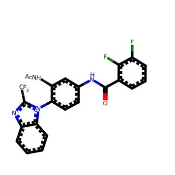 CC(=O)Nc1cc(NC(=O)c2cccc(F)c2F)ccc1-n1c(C(F)(F)F)nc2ccccc21